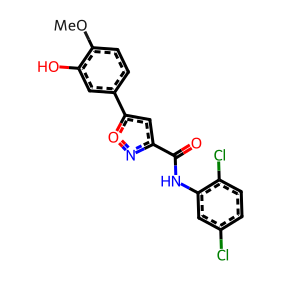 COc1ccc(-c2cc(C(=O)Nc3cc(Cl)ccc3Cl)no2)cc1O